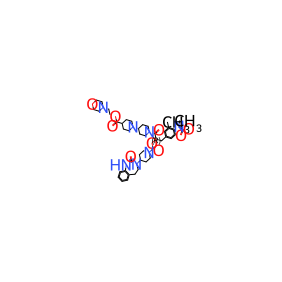 Cc1cc(C[C@@H](OC(=O)N2CCC(N3CCc4ccccc4NC3=O)CC2)C(=O)N2CCC(N3CCC(C(=O)OCCN4CCOCC4)CC3)CC2)cc2oc(=O)n(C)c12